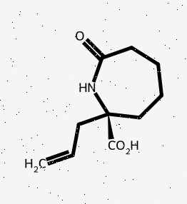 C=CC[C@@]1(C(=O)O)CCCCC(=O)N1